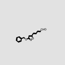 O=CC=CC=Cc1cc(OCc2ccccc2)no1